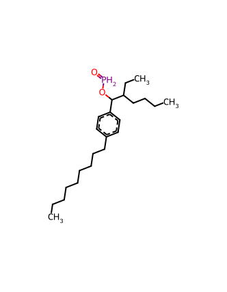 CCCCCCCCCc1ccc(C(O[PH2]=O)C(CC)CCCC)cc1